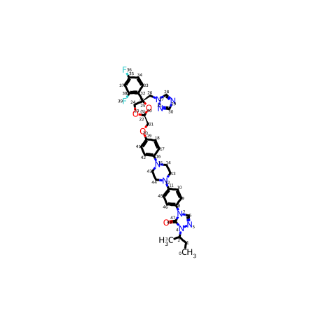 CCC(C)n1ncn(-c2ccc(N3CCN(c4ccc(OC[C@H]5OC[C@](Cn6cncn6)(c6ccc(F)cc6F)O5)cc4)CC3)cc2)c1=O